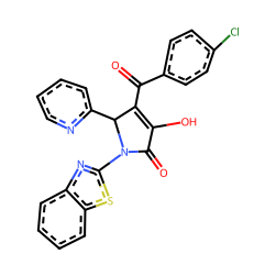 O=C(C1=C(O)C(=O)N(c2nc3ccccc3s2)C1c1ccccn1)c1ccc(Cl)cc1